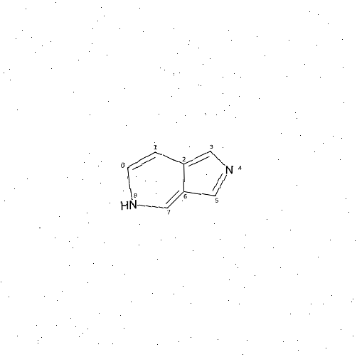 c1cc2cncc-2c[nH]1